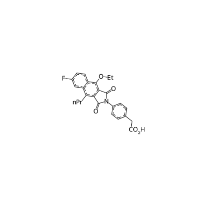 CCCc1c2c(c(OCC)c3ccc(F)cc13)C(=O)N(c1ccc(CC(=O)O)cc1)C2=O